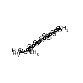 COc1cc(OCCC(C)OC)ccc1C(=O)Oc1ccc(C(=O)Oc2ccc(C(=O)Oc3ccc(OC(=O)c4ccc(OC(=O)c5ccc(OC(C)=O)cc5)cc4)c(C)c3)cc2)cc1